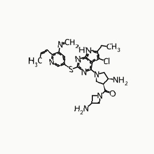 C=Nc1cc(Sc2nc(N3C[C@@H](N)[C@@H](C(=O)N4CC(N)C4)C3)c3c(Cl)c(CC)[nH]c3n2)cnc1/C=C\C